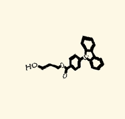 O=C(OCCCO)c1ccc(-[s+]2c3ccccc3c3ccccc32)cc1